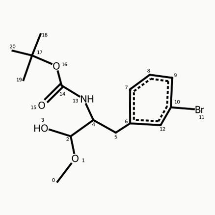 COC(O)C(Cc1cccc(Br)c1)NC(=O)OC(C)(C)C